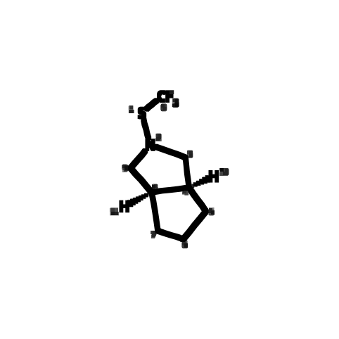 FC(F)(F)SN1C[C@H]2CCC[C@H]2C1